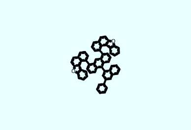 c1ccc(-c2cc(-c3c4cccc(-c5cccc6ccc7oc8ccccc8c7c56)c4cc4c(-c5cccc6ccc7oc8ccccc8c7c56)cccc34)c3ccccc3c2)cc1